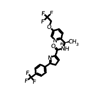 C[C@@H](NC(=O)C1=CCC(c2ccc(C(F)(F)F)cc2)=N1)c1ccc(OCC(F)(F)F)cn1